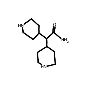 NC(=O)C(C1CCNCC1)C1CCNCC1